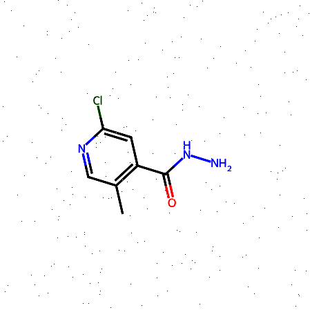 Cc1cnc(Cl)cc1C(=O)NN